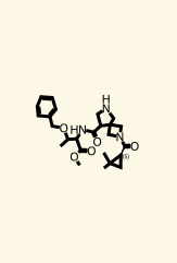 COC(=O)C(NC(=O)C1CNCC12CN(C(=O)[C@H]1CC1(C)C)C2)C(C)OCc1ccccc1